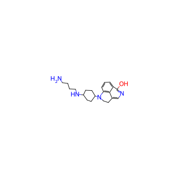 NCCCCNC1CCC(N2CCc3cnc(O)c4cccc2c34)CC1